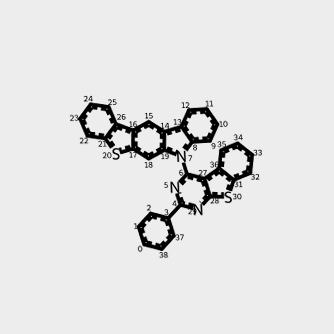 c1ccc(-c2nc(-n3c4ccccc4c4cc5c(cc43)sc3ccccc35)c3c(n2)sc2ccccc23)cc1